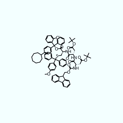 COc1ccc(C(SC[C@H](NC(=O)[C@H](CC(=O)OC(C)(C)C)NC(=O)[C@H](CC(=O)OC(C)(C)C)NC(=O)OCC2c3ccccc3-c3ccccc32)C(=O)OC(c2ccccc2)(c2ccc(C3CCCCCCC3)cc2)c2ccccc2Cl)(c2ccccc2)c2ccccc2)cc1